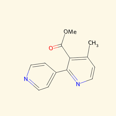 COC(=O)c1c(C)ccnc1-c1ccncc1